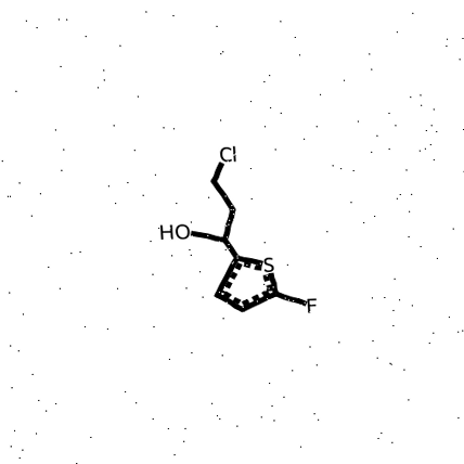 OC(CCCl)c1ccc(F)s1